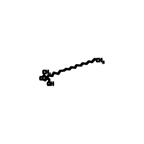 CCCCCCCCCCCCCCCCCCC1(CO)COC1C